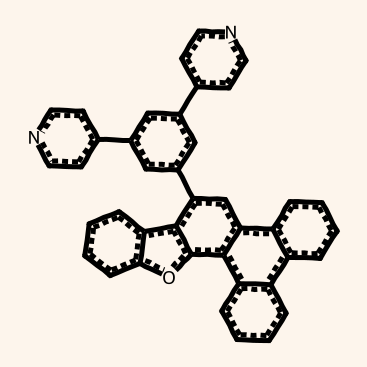 c1ccc2c(c1)oc1c2c(-c2cc(-c3ccncc3)cc(-c3ccncc3)c2)cc2c3ccccc3c3ccccc3c21